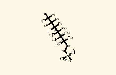 CC(F)(F)C(F)(F)C(F)(F)C(F)(F)C(F)(F)C(F)(F)CC[Si](C)(Cl)Cl